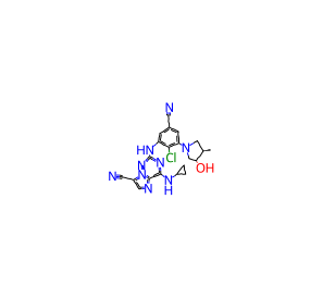 C[C@@H]1CN(c2cc(C#N)cc(Nc3nc(NC4CC4)c4ncc(C#N)n4n3)c2Cl)C[C@H]1O